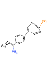 C=C(N)c1ccc(-c2ccc(P)cc2)cc1